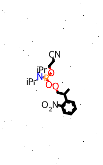 CC(COOP(OCCC#N)N(C(C)C)C(C)C)c1ccccc1[N+](=O)[O-]